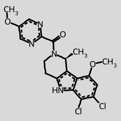 COc1cnc(C(=O)N2CCc3[nH]c4c(Cl)c(Cl)cc(OC)c4c3[C@@H]2C)nc1